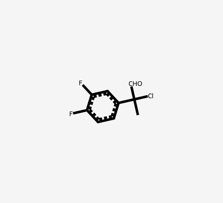 CC(Cl)(C=O)c1ccc(F)c(F)c1